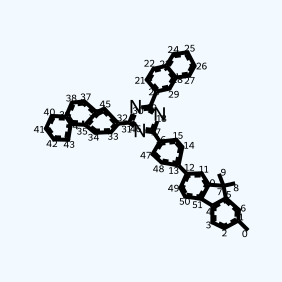 Cc1ccc2c(c1)C(C)(C)c1cc(-c3ccc(-c4nc(-c5ccc6ccccc6c5)nc(-c5ccc6c(ccc7ccccc76)c5)n4)cc3)ccc1-2